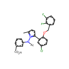 CC(=O)N(c1cccc(C(=O)O)c1)n1c(C)ccc1-c1cc(Cl)ccc1OCc1cccc(F)c1F